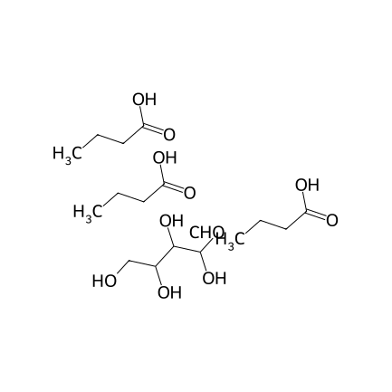 CCCC(=O)O.CCCC(=O)O.CCCC(=O)O.O=CC(O)C(O)C(O)CO